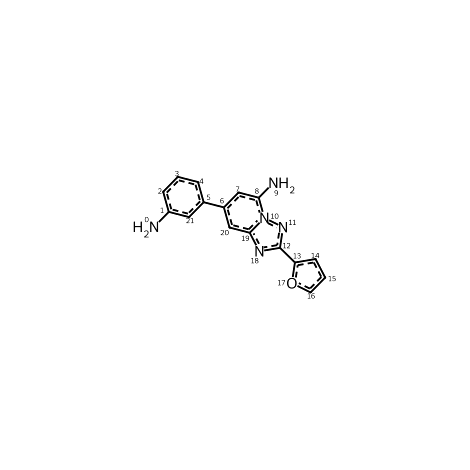 Nc1cccc(-c2cc(N)n3nc(-c4ccco4)nc3c2)c1